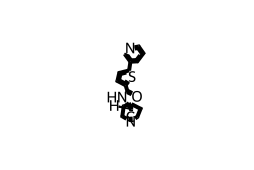 O=C(N[C@H]1CN2CCC1CC2)c1ccc(-c2cccnc2)s1